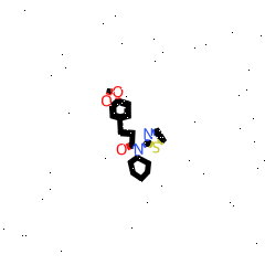 O=C(/C=C/c1ccc2c(c1)OCO2)N(c1nccs1)C1CCCCC1